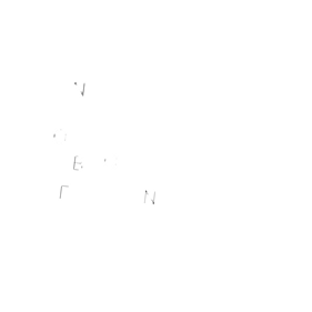 CCCC[N+](C)(C)C.CCCC[N+](C)(C)C.[O-]B([O-])F